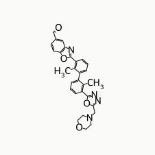 Cc1c(-c2nnc(CN3CCOCC3)o2)cccc1-c1cccc(-c2nc3cc(C=O)ccc3o2)c1C